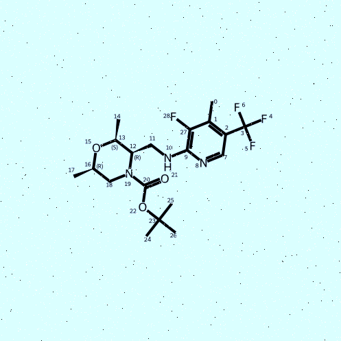 Cc1c(C(F)(F)F)cnc(NC[C@@H]2[C@H](C)O[C@H](C)CN2C(=O)OC(C)(C)C)c1F